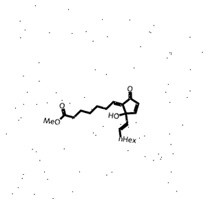 CCCCCCC=CC1(O)C=CC(=O)C1=CCCCCCC(=O)OC